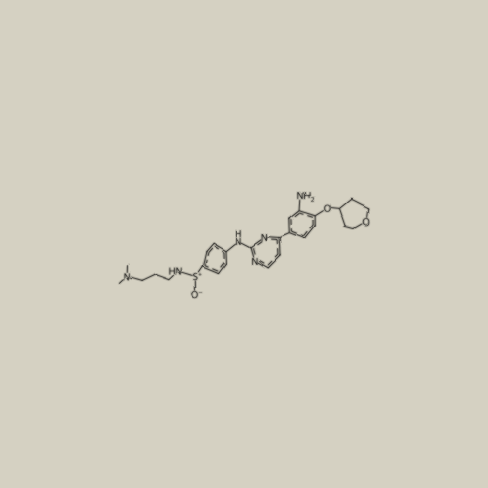 CN(C)CCCN[S+]([O-])c1ccc(Nc2nccc(-c3ccc(OC4CCOCC4)c(N)c3)n2)cc1